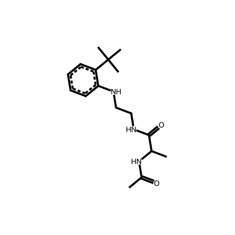 CC(=O)NC(C)C(=O)NCCNc1ccccc1C(C)(C)C